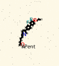 C=CCOc1ccc(-c2ccc(-c3ccc(/C=C/CCCC(C)OCCCCC)nc3)cc2)c(F)c1F